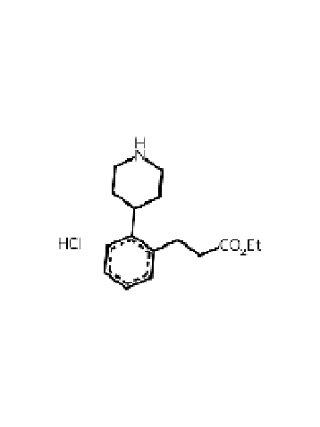 CCOC(=O)CCc1ccccc1C1CCNCC1.Cl